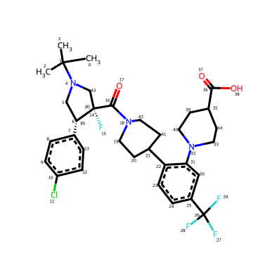 CC(C)(C)N1C[C@@H](c2ccc(Cl)cc2)[C@](F)(C(=O)N2CCC(c3ccc(C(F)(F)F)cc3N3CCC(C(=O)O)CC3)CC2)C1